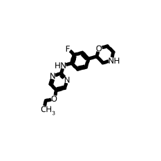 CCOc1cnc(Nc2ccc(C3CNCCO3)cc2F)nc1